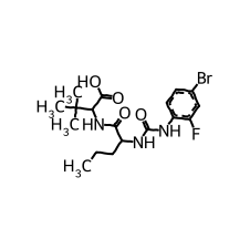 CCCC(NC(=O)Nc1ccc(Br)cc1F)C(=O)NC(C(=O)O)C(C)(C)C